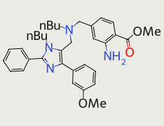 CCCCN(Cc1ccc(C(=O)OC)c(N)c1)Cc1c(-c2cccc(OC)c2)nc(-c2ccccc2)n1CCCC